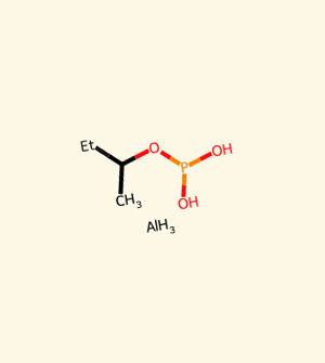 CCC(C)OP(O)O.[AlH3]